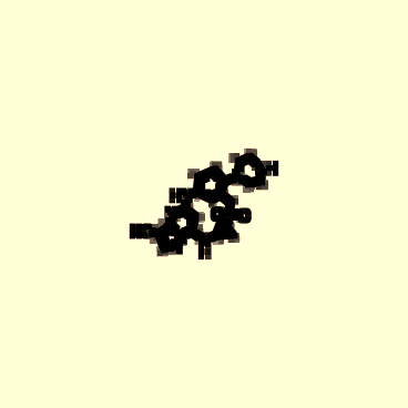 CS(=O)(=O)Cc1cc(Nc2cc(NC3CC3)n3ncc(C#N)c3n2)ccc1N1CCNCC1